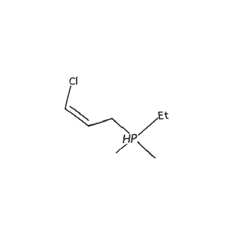 CC[PH](C)(C)C/C=C\Cl